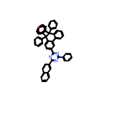 c1ccc(-c2nc(-c3ccc4c(c3)-c3ccccc3C(c3ccccc3)(c3ccccc3)C4(c3ccccc3)c3ccccc3)nc(-c3ccc4ccccc4c3)n2)cc1